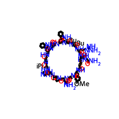 CCCC[C@H]1C(=O)N(C)[C@@H](CCCC)C(=O)N[C@@H](CCCNC(=N)N)C(=O)N[C@H](C(=O)NCC(N)=O)CSCC(=O)N[C@@H](Cc2ccc(OC)cc2)C(=O)N(C)[C@@H](C)C(=O)N[C@@H](CC(N)=O)C(=O)N2CCC[C@H]2C(=O)N[C@@H](Cc2cnc[nH]2)C(=O)N[C@@H](CC(C)C)C(=O)N(C)CC(=O)N[C@@H](Cc2c[nH]c3ccccc23)C(=O)N[C@@H](CO)C(=O)N[C@@H](Cc2c[nH]c3ccccc23)C(=O)N1C